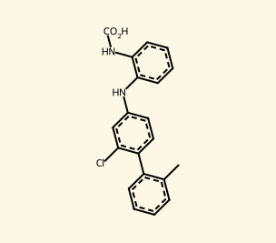 Cc1ccccc1-c1ccc(Nc2ccccc2NC(=O)O)cc1Cl